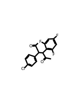 CC(=O)C(c1ccc(Cl)cc1)C(C(C)=O)c1c(F)cc(F)cc1F